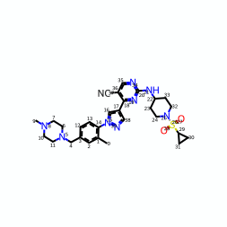 Cc1cc(CN2CCN(C)CC2)ccc1-n1cc(-c2nc(NC3CCN(S(=O)(=O)C4CC4)CC3)ncc2C#N)cn1